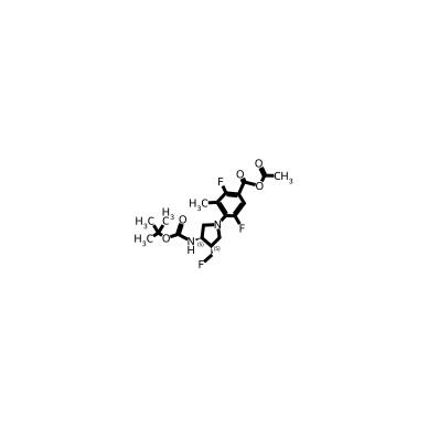 CC(=O)OC(=O)c1cc(F)c(N2C[C@H](CF)[C@H](NC(=O)OC(C)(C)C)C2)c(C)c1F